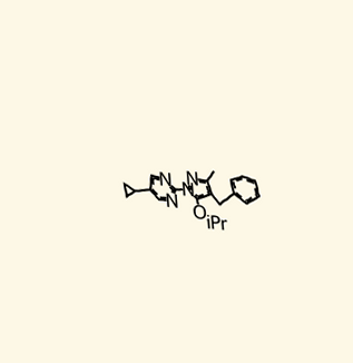 Cc1nn(-c2ncc(C3CC3)cn2)c(OC(C)C)c1Cc1ccccc1